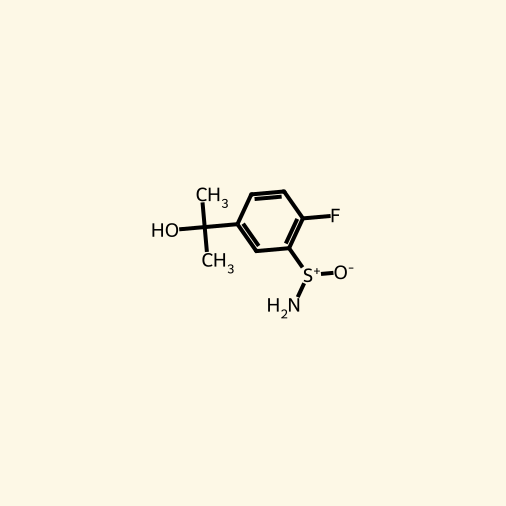 CC(C)(O)c1ccc(F)c([S+](N)[O-])c1